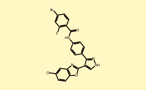 O=C(Nc1ccc(-c2n[nH]cc2-c2nc3cc(Cl)ccc3o2)cc1)c1ccc(Br)cc1F